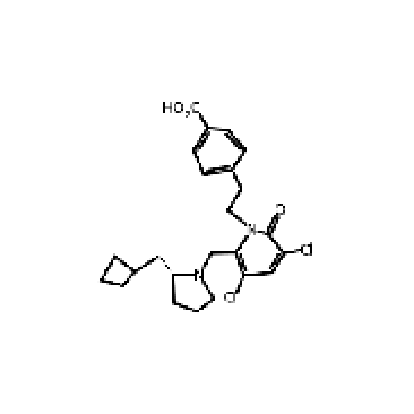 O=C(O)c1ccc(CCn2c(CN3CCC[C@@H]3CC3CCC3)c(Cl)cc(Cl)c2=O)cc1